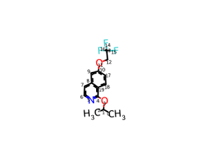 CC(C)Oc1nccc2cc(OCC(F)(F)F)ccc12